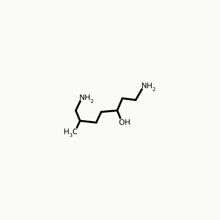 CC(CN)CCC(O)CCN